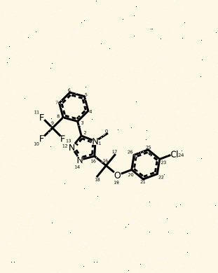 Cn1c(-c2ccccc2C(F)(F)F)nnc1C(C)(C)Oc1ccc(Cl)cc1